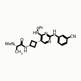 CCCNc1nc(Nc2cccc(C#N)c2)ncc1[C@H]1C[C@@H](NC(=O)[C@H](C)NC)C1